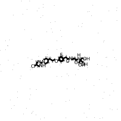 O=C(Cc1ccc(OCCCC2CCN(C3N=CC(Cl)CN3)CC2)cc1F)NCCC(=O)NC(CO)(CO)CO